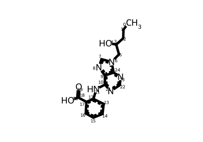 CCCC(O)Cn1cnc2c(Nc3ccccc3C(=O)O)ncnc21